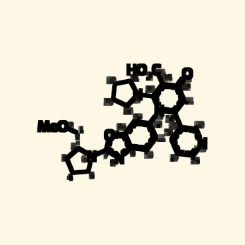 COC[C@H]1CCCN1c1nc2ccc(-n3c(-c4cccnc4)cc(=O)c(C(=O)O)c3N3CCCC3)cc2o1